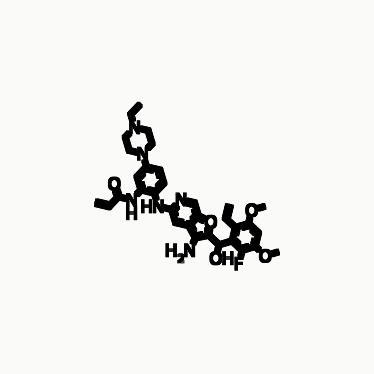 C=CC(=O)Nc1cc(N2CCN(CC)CC2)ccc1Nc1cc2c(N)c(C(O)c3c(F)c(OC)cc(OC)c3C=C)oc2cn1